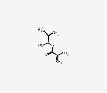 C=C(C)C(=O)OC(O)C(C)N